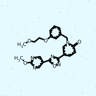 COCCOc1cccc(Cn2cc(-c3noc(-c4cnc(OC)nc4)n3)ccc2=O)c1